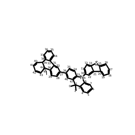 CC1(C)c2ccccc2N(c2ccc3sc4ccccc4c3c2)c2ccc(-c3ccc4c(c3)-c3ccccc3C3C=CC=C[C@]43I)cc21